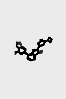 NCc1ccc(-c2ccnc3[nH]c(-c4cnn(C5CCC5)c4)nc23)cc1F